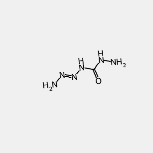 NN=NNC(=O)NN